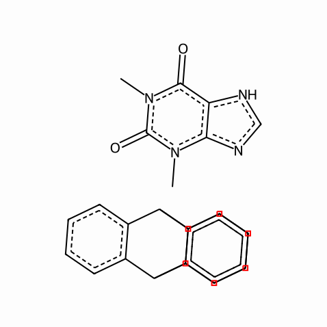 Cn1c(=O)c2[nH]cnc2n(C)c1=O.c1ccc2c(c1)C1c3ccccc3C2c2ccccc21